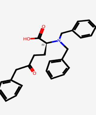 O=C(CC[C@@H](C(=O)O)N(Cc1ccccc1)Cc1ccccc1)Cc1ccccc1